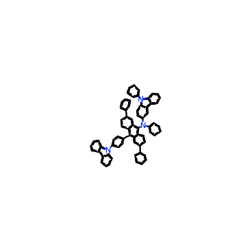 c1ccc(-c2ccc3c(N(c4ccccc4)c4ccc5c(c4)c4ccccc4n5-c4ccccc4)c4cc(-c5ccccc5)ccc4c(-c4ccc(-n5c6ccccc6c6ccccc65)cc4)c3c2)cc1